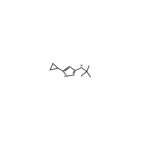 CC(C)(C)Nc1cc(C2CC2)[nH]n1